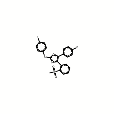 CS(=O)(=O)c1ccccc1-c1nc(Sc2ccc(F)cc2)sc1-c1ccc(F)cc1